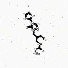 CC(C)(C)OC(=O)NCC(=CF)Cn1ncn(-c2nccs2)c1=O